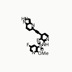 COc1ncc(F)cc1S(=O)(=O)Nc1nccc(C#Cc2ccc3n[nH]cc3n2)c1F